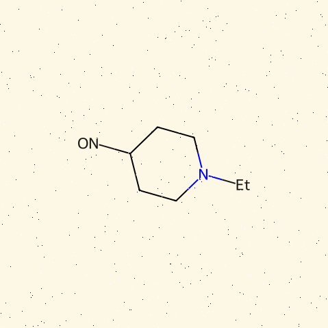 CCN1CCC(N=O)CC1